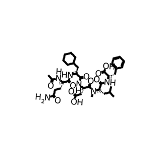 CC(=O)N[C@@H](CCC(N)=O)C(=O)N[C@@H](CC1CCCCC1)C(=O)N[C@@H](CC(=O)O)C(=O)N(C)[C@@H](CC(C)C)C(=O)N[C@@H](Cc1ccccc1)C(=O)O